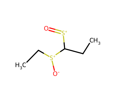 CCC([S+]=O)[S+]([O-])CC